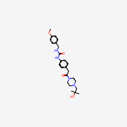 COc1ccc(CNC(=O)Nc2ccc(CC(=O)N3CCN(CC(C)(C)O)CC3)cc2)cc1